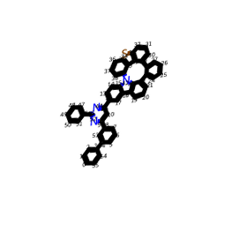 c1ccc(-c2cccc(-c3cc(-c4ccc5c(c4)c4cccc6c7ccccc7c7cccc8sc9cccc(c9c87)n5c64)nc(-c4ccccc4)n3)c2)cc1